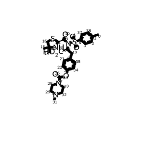 Cc1ccc(S(=O)(=O)N(C(=O)[C@H]2NC(C)(C)CS2)[C@@H](Cc2ccc(OC(=O)N3CCN(C)CC3)cc2)C(=O)O)cc1